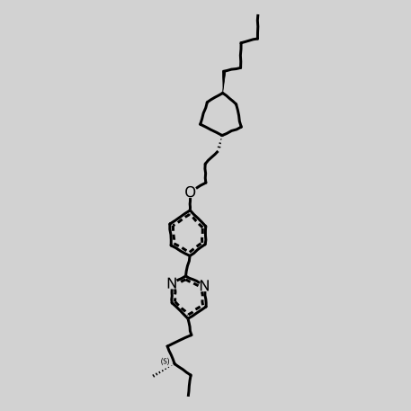 CCCCC[C@H]1CC[C@H](CCCOc2ccc(-c3ncc(CC[C@@H](C)CC)cn3)cc2)CC1